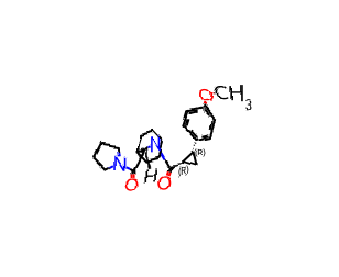 COc1ccc([C@@H]2C[C@H]2C(=O)N2C3CCC(CC3)[C@H]2C(=O)N2CCCC2)cc1